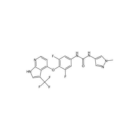 Cn1cc(NC(=O)Nc2cc(F)c(Oc3ccnc4[nH]cc(C(F)(F)F)c34)c(F)c2)cn1